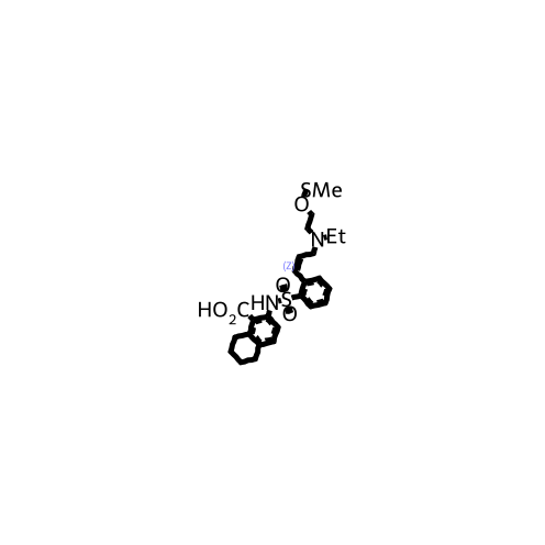 CCN(C/C=C\c1ccccc1S(=O)(=O)Nc1ccc2c(c1C(=O)O)CCCC2)CCOSC